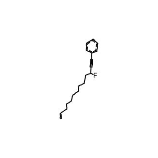 C=CCCCCCCCCC(F)C#Cc1ccccc1